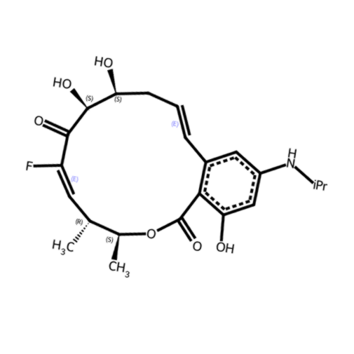 CC(C)Nc1cc(O)c2c(c1)/C=C/C[C@H](O)[C@H](O)C(=O)/C(F)=C\[C@@H](C)[C@H](C)OC2=O